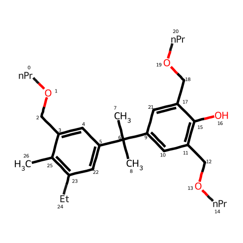 CCCOCc1cc(C(C)(C)c2cc(COCCC)c(O)c(COCCC)c2)cc(CC)c1C